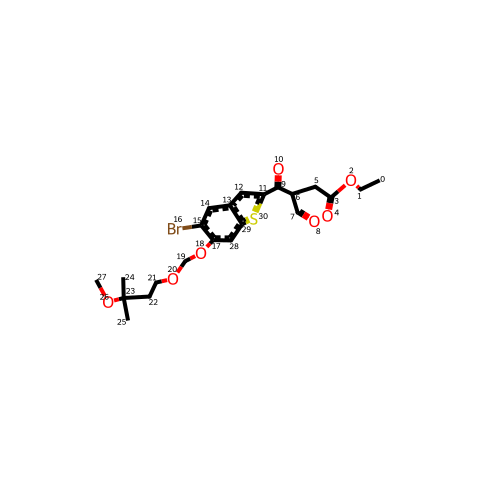 CCOC(=O)CC(C=O)C(=O)c1cc2cc(Br)c(OCOCCC(C)(C)OC)cc2s1